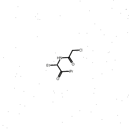 CCC(NC(=O)CCl)C(=O)C(C)C